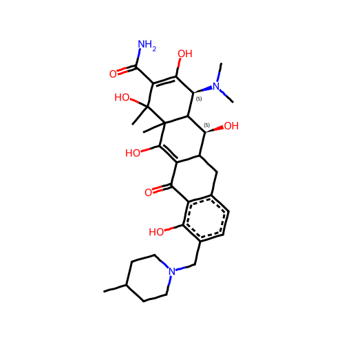 CC1CCN(Cc2ccc3c(c2O)C(=O)C2=C(O)C4(C)C([C@@H](O)C2C3)[C@H](N(C)C)C(O)=C(C(N)=O)C4(C)O)CC1